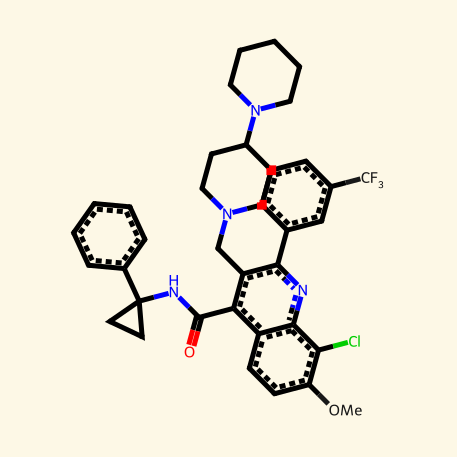 COc1ccc2c(C(=O)NC3(c4ccccc4)CC3)c(CN3CCC(N4CCCCC4)CC3)c(-c3cccc(C(F)(F)F)c3)nc2c1Cl